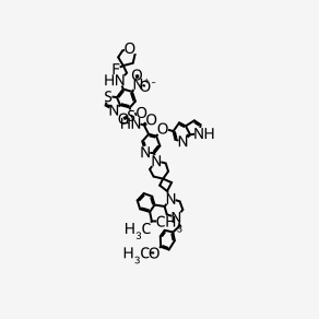 COc1ccc(CN2CCN(C3CC4(CCN(c5cc(Oc6cnc7[nH]ccc7c6)c(C(=O)NS(=O)(=O)c6cc([N+](=O)[O-])c(NCC7(F)CCOCC7)c7scnc67)cn5)CC4)C3)C(c3ccccc3C(C)C)C2)cc1